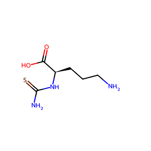 NCCC[C@@H](NC(N)=S)C(=O)O